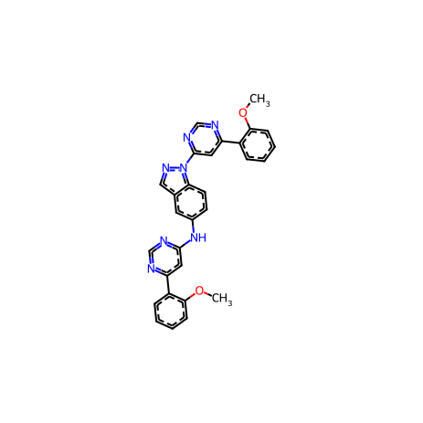 COc1ccccc1-c1cc(Nc2ccc3c(cnn3-c3cc(-c4ccccc4OC)ncn3)c2)ncn1